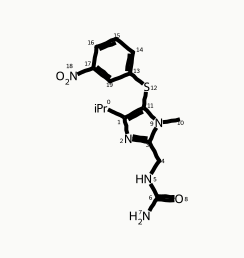 CC(C)c1nc(CNC(N)=O)n(C)c1Sc1cccc([N+](=O)[O-])c1